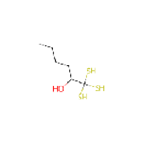 CCCCC(O)C(S)(S)S